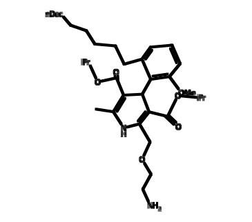 CCCCCCCCCCCCCCCc1cccc(OC)c1C1C(C(=O)OC(C)C)=C(C)NC(COCCN)=C1C(=O)OC(C)C